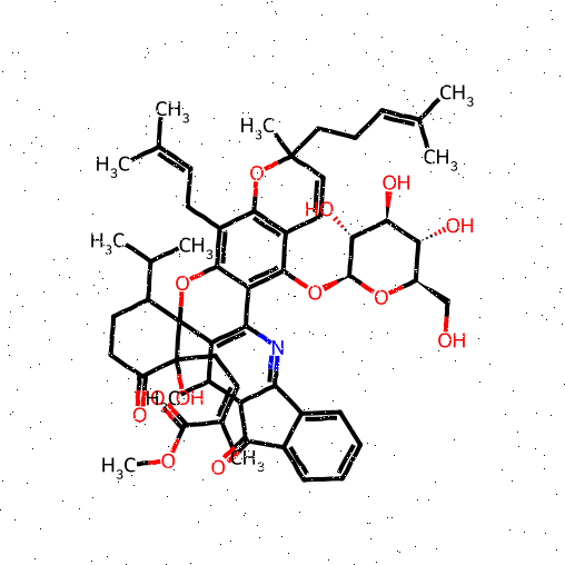 COC(=O)/C(C)=C\CC1(O)C(=O)CCC(C(C)C)C12Oc1c(CC=C(C)C)c3c(c(O[C@@H]4O[C@H](CO)[C@@H](O)[C@H](O)[C@H]4O)c1C1=C2C(C)C2C(=O)c4ccccc4C2=N1)C=CC(C)(CCC=C(C)C)O3